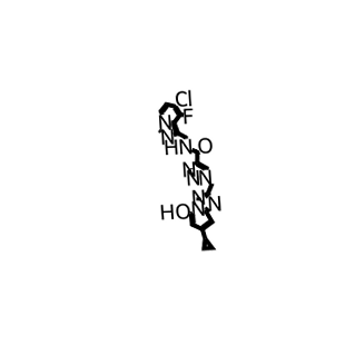 O=C(NCc1ncn2ccc(Cl)c(F)c12)c1cn(Cc2nc3cc(C4CC4)cc(O)n3n2)nn1